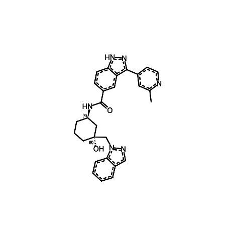 Cc1cc(-c2n[nH]c3ccc(C(=O)N[C@@H]4CCC[C@](O)(Cn5ncc6ccccc65)C4)cc23)ccn1